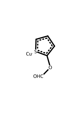 O=COc1cccs1.[Cu]